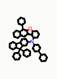 c1ccc(-c2ccc(N(c3ccc4c(c3)C(c3ccccc3)(c3ccccc3)c3ccccc3-4)c3cccc4oc5c(-c6ccccc6)c6ccccc6cc5c34)cc2)cc1